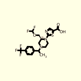 CC(c1ccc(C(F)(F)F)cc1)N1CCN(c2ncc(C(=O)O)s2)[C@H](COC(F)F)C1